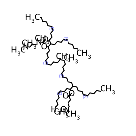 CCCCC/C=C\CCCC(CCC/C=C\CCCC(C)C(C)CCC/C=C\CCCC(OC(=O)N(C)CCCN(C)C)C(CCC/C=C\CCCCC)CCC/C=C\CCCCC)C(CC/C=C\CCCCC)OC(=O)CCCN(C)C